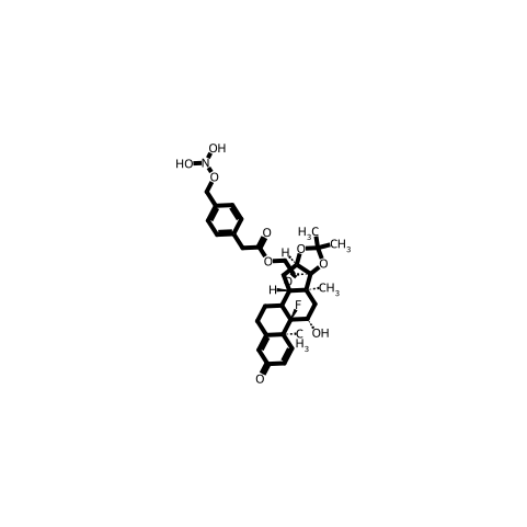 CC1(C)O[C@@H]2C[C@H]3C4CCC5=CC(=O)C=C[C@]5(C)[C@@]4(F)[C@@H](O)C[C@]3(C)[C@]2(C(=O)COC(=O)Cc2ccc(CON(O)O)cc2)O1